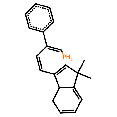 CC1(C)C=C(/C=C\C(=C/P)c2ccccc2)C2CC=CC=C21